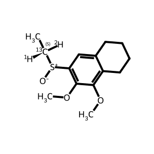 [1H][13C@]([2H])(C)[S+]([O-])c1cc2c(c(OC)c1OC)CCCC2